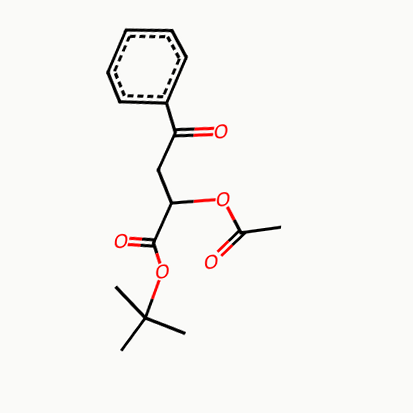 CC(=O)OC(CC(=O)c1ccccc1)C(=O)OC(C)(C)C